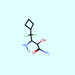 NC(=O)C(O)C(NCl)C(F)(F)C1CCC1